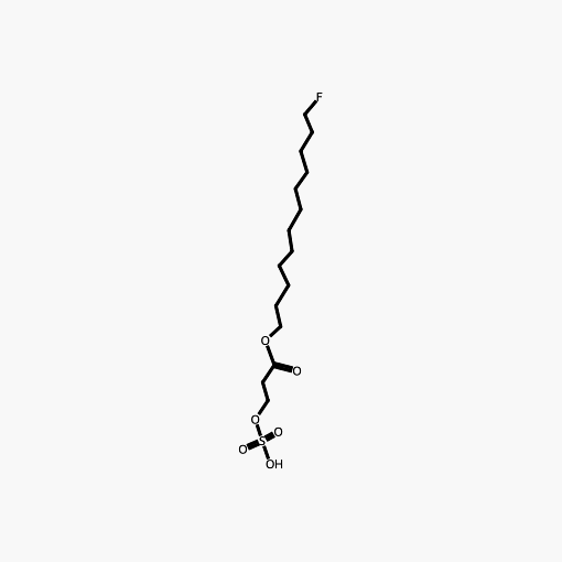 O=C(CCOS(=O)(=O)O)OCCCCCCCCCCCCF